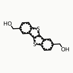 OCc1ccc2sc3c4cc(CO)ccc4sc3c2c1